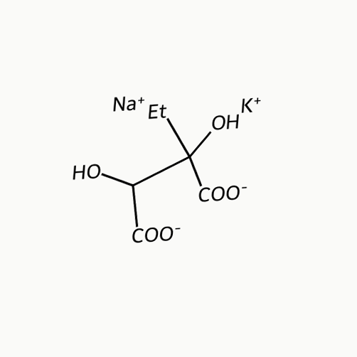 CCC(O)(C(=O)[O-])C(O)C(=O)[O-].[K+].[Na+]